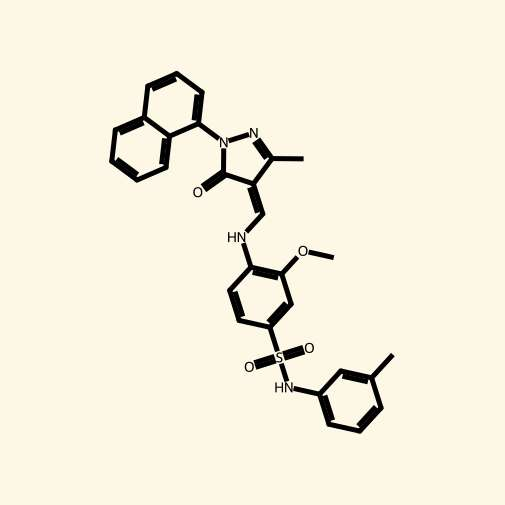 COc1cc(S(=O)(=O)Nc2cccc(C)c2)ccc1N/C=C1\C(=O)N(c2cccc3ccccc23)N=C1C